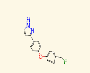 FCc1ccc(Oc2ccc(-c3cc[nH]n3)cc2)cc1